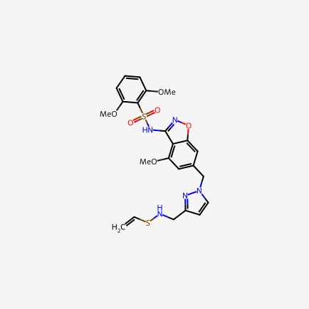 C=CSNCc1ccn(Cc2cc(OC)c3c(NS(=O)(=O)c4c(OC)cccc4OC)noc3c2)n1